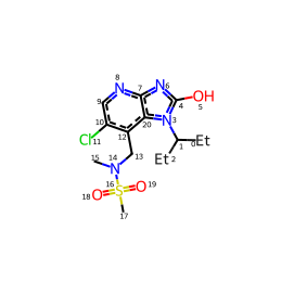 CCC(CC)n1c(O)nc2ncc(Cl)c(CN(C)S(C)(=O)=O)c21